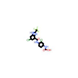 O=C(O)Nc1ccc(NC(=O)c2cc(Cl)cc3[nH]c(C(F)(F)F)nc23)c(Cl)c1